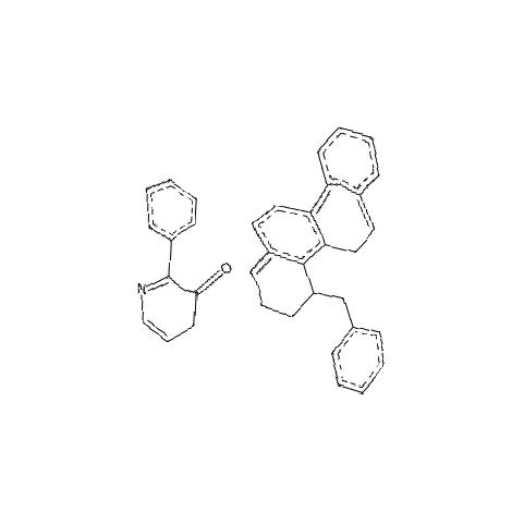 C1=c2ccc3c(c2C(Cc2ccccc2)CC1)CC=c1ccccc1=3.O=C1CC=CN=C1c1ccccc1